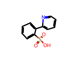 O=S(=O)(O)c1ccccc1-c1ccccn1